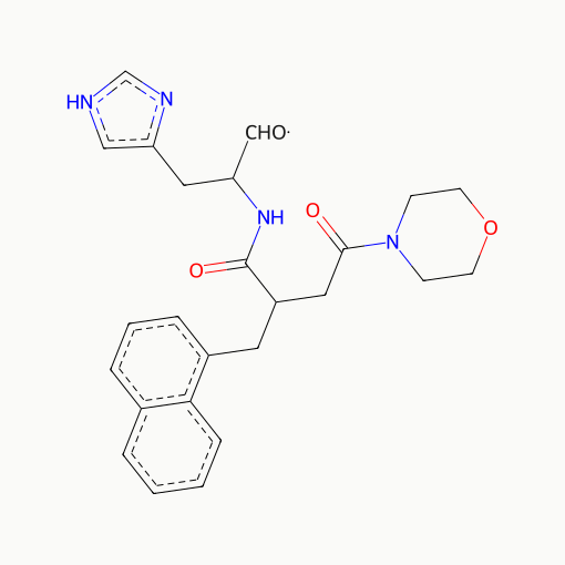 O=[C]C(Cc1c[nH]cn1)NC(=O)C(CC(=O)N1CCOCC1)Cc1cccc2ccccc12